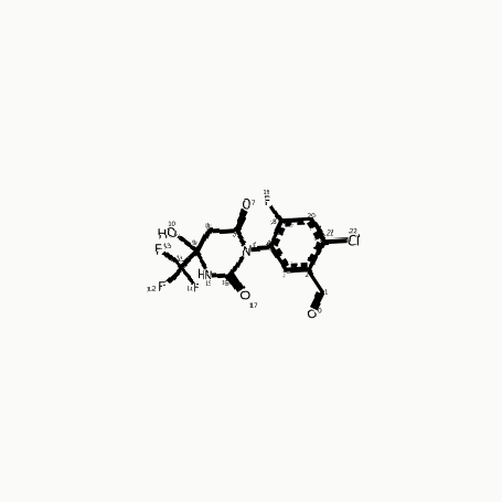 O=Cc1cc(N2C(=O)CC(O)(C(F)(F)F)NC2=O)c(F)cc1Cl